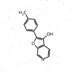 Cc1ccc(-c2oc3cnccc3c2O)cc1